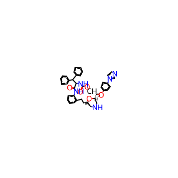 COC(=O)NC(C(=O)Nc1ccccc1CC[C@@H]1CNC[C@@H](COc2ccc(-n3ccnc3)cc2)O1)C(c1ccccc1)c1ccccc1